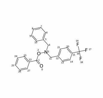 O=C(ON(Cc1ccccc1)Cc1ccc(C(F)(F)F)cc1)c1ccccc1